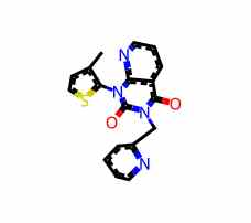 Cc1ccsc1-n1c(=O)n(Cc2ccccn2)c(=O)c2cccnc21